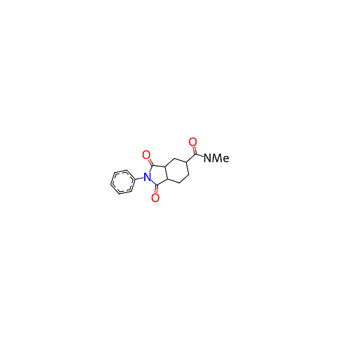 CNC(=O)C1CCC2C(=O)N(c3ccccc3)C(=O)C2C1